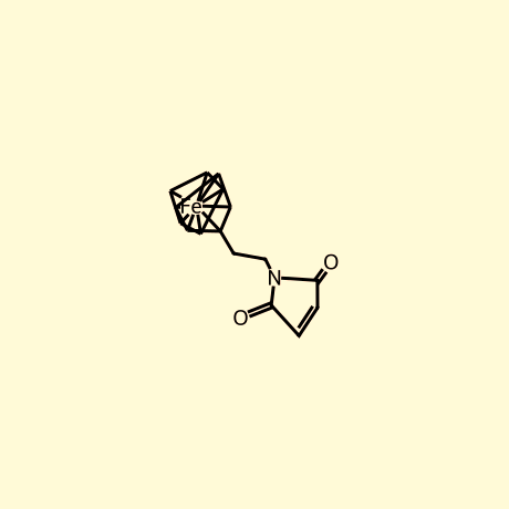 O=C1C=CC(=O)N1CC[C]12[CH]3[CH]4[CH]5[CH]1[Fe]45321678[CH]2[CH]1[CH]6[CH]7[CH]28